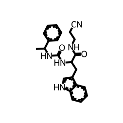 CC(NC(=O)NC(Cc1c[nH]c2ccccc12)C(=O)NCCC#N)c1ccccc1